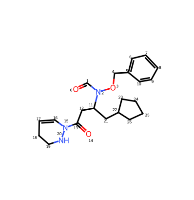 O=CN(OCc1ccccc1)C(CC(=O)N1C=CCCN1)CC1CCCC1